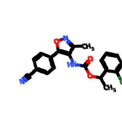 Cc1noc(-c2ccc(C#N)cc2)c1NC(=O)OC(C)c1ccccc1Cl